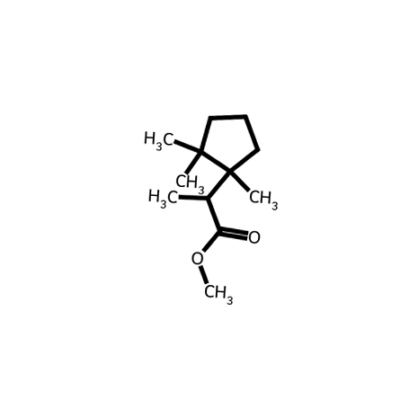 COC(=O)C(C)C1(C)CCCC1(C)C